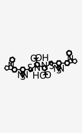 O=C(O)c1cc(-c2cc(C(=O)O)cc(-c3ccc(-c4ccc(-c5ccc6c(c5)N(c5ccccc5)C5CCCC65)c5nsnc45)s3)n2)nc(-c2ccc(-c3ccc(-c4ccc5c(c4)N(c4ccccc4)C4CCCC54)c4nsnc34)s2)c1